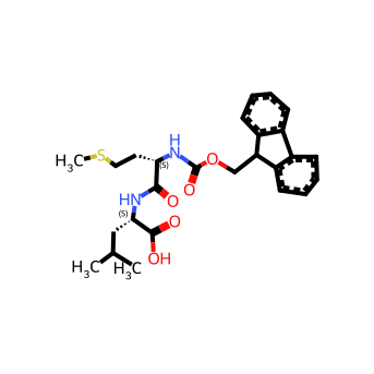 CSCC[C@H](NC(=O)OCC1c2ccccc2-c2ccccc21)C(=O)N[C@@H](CC(C)C)C(=O)O